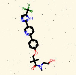 CN(CCO)C(=O)C(C)(C)COc1ccc(-c2ccc(-c3ncc(C(F)(F)F)[nH]3)cn2)cc1